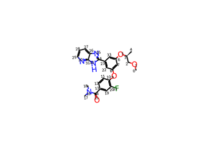 COC[C@H](C)Oc1cc(Oc2ccc(C(=O)N(C)C)cc2F)cc(-c2nc3cccnc3[nH]2)c1